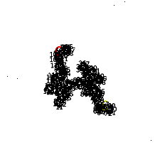 c1ccc(-c2c3cc4c5ccccc5c5cccc(c3c(-c3ccc(-c6ccc(-c7c8cc9c%10ccccc%10c%10cccc(c8c(-c8ccccc8)c8c%11cc%12ccc%13cc(-c%14cccc%15c%14sc%14ccccc%14%15)ccc%13c%12c%12cccc(c78)c%11%12)c%109)cc6)cc3)c3c6cc7ccc8cc(-c9ccc%10oc%11ccccc%11c%10c9)ccc8c7c7cccc(c23)c67)c54)cc1